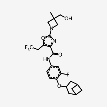 CC1(CO)CN(c2nc(C(=O)Nc3ccc(OC4CC5CC(C5)C4)c(F)c3)c(CC(F)(F)F)o2)C1